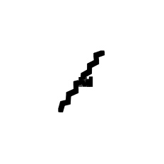 CCCCC[CH2][Nd][CH2]CCCCC